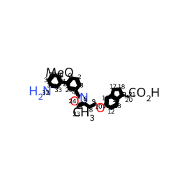 COc1ccc(-c2nc(CCOc3ccc4c(c3)CC[C@H]4CC(=O)O)c(C)o2)cc1-c1cccc(N)c1